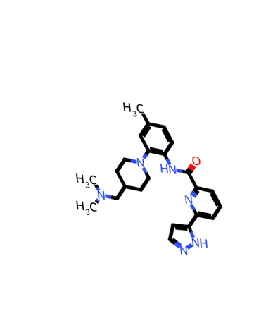 Cc1ccc(NC(=O)c2cccc(-c3ccn[nH]3)n2)c(N2CCC(CN(C)C)CC2)c1